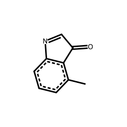 Cc1cccc2c1C(=O)C=N2